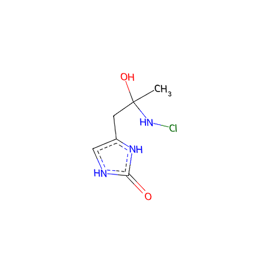 CC(O)(Cc1c[nH]c(=O)[nH]1)NCl